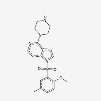 COc1ccc(C)cc1S(=O)(=O)n1ccc2c(N3CCNCC3)nccc21